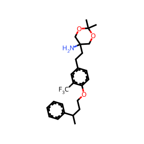 CC(CCOc1ccc(CCC2(N)COC(C)(C)OC2)cc1C(F)(F)F)c1ccccc1